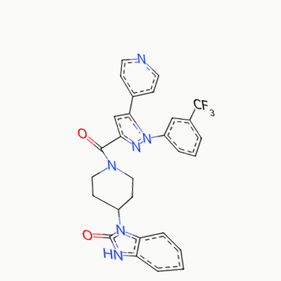 O=C(c1cc(-c2ccncc2)n(-c2cccc(C(F)(F)F)c2)n1)N1CCC(n2c(=O)[nH]c3ccccc32)CC1